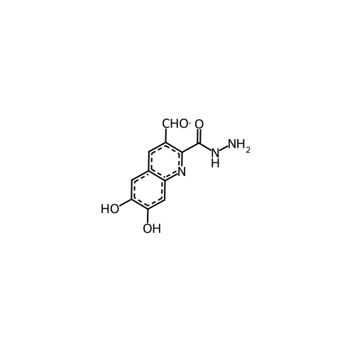 NNC(=O)c1nc2cc(O)c(O)cc2cc1[C]=O